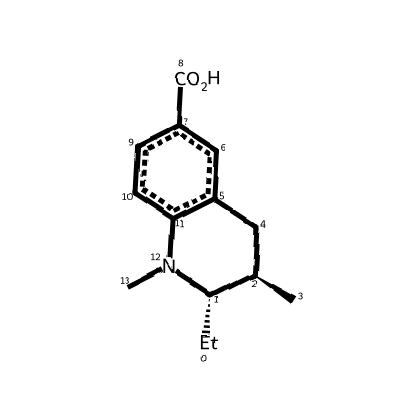 CC[C@H]1[C@H](C)Cc2cc(C(=O)O)ccc2N1C